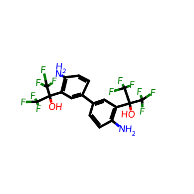 Nc1ccc(-c2ccc(N)c(C(O)(C(F)(F)F)C(F)(F)F)c2)cc1C(O)(C(F)(F)F)C(F)(F)F